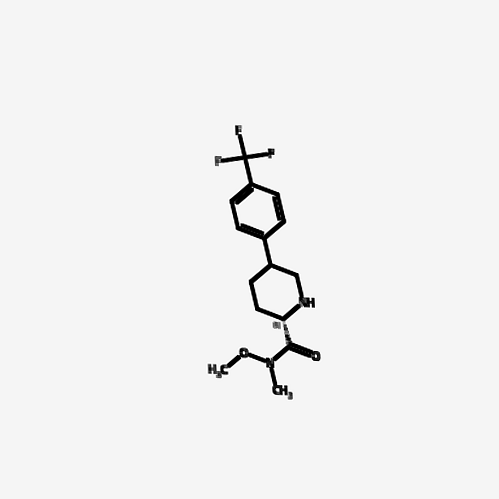 CON(C)C(=O)[C@@H]1CCC(c2ccc(C(F)(F)F)cc2)CN1